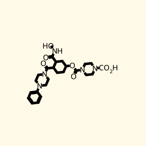 O=C(NO)C1CC(OC(=O)N2CCN(C(=O)O)CC2)CCC1C(=O)N1CCN(c2ccccc2)CC1